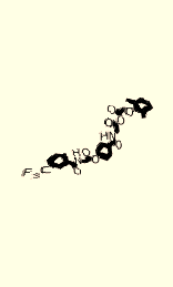 Cc1cccc(C)c1OCC(=O)OC(=O)CNC(=O)c1ccc(OC(=O)CNC(=O)c2cccc(C(F)(F)F)c2)cc1